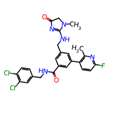 Cc1nc(F)ccc1-c1cc(CNC2=NC(=O)CN2C)cc(C(=O)NCc2ccc(Cl)c(Cl)c2)c1